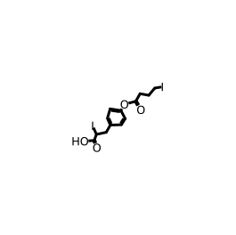 O=C(CCCI)Oc1ccc(CC(I)C(=O)O)cc1